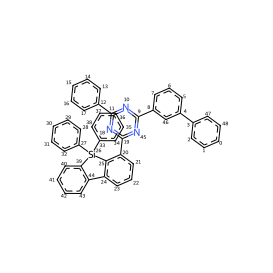 c1ccc(-c2cccc(-c3nc(-c4ccccc4)nc(-c4cccc5c4[Si](c4ccccc4)(c4ccccc4)c4ccccc4-5)n3)c2)cc1